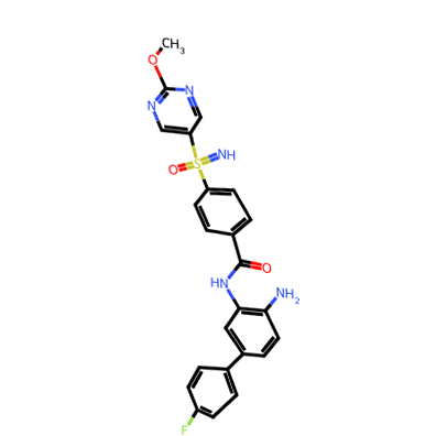 COc1ncc(S(=N)(=O)c2ccc(C(=O)Nc3cc(-c4ccc(F)cc4)ccc3N)cc2)cn1